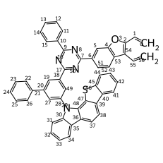 C=Cc1oc2cc(-c3nc(-c4ccccc4)nc(-c4cc(-c5ccccc5)cc(-n5c6ccccc6c6ccc7c8ccccc8sc7c65)c4)n3)ccc2c1C=C